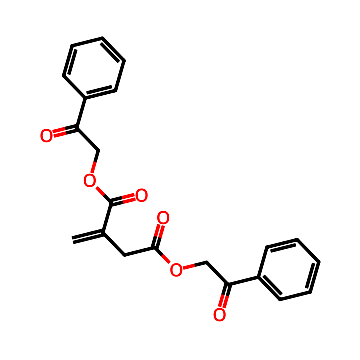 C=C(CC(=O)OCC(=O)c1ccccc1)C(=O)OCC(=O)c1ccccc1